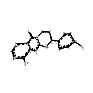 CC(C)c1ncnc2c(=O)n3c(nc12)NC(c1ccc(Cl)cc1)CC3